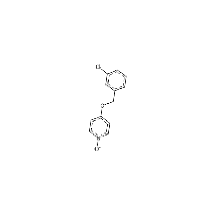 [O-][n+]1ccc(OCc2cccc(Cl)c2)cc1